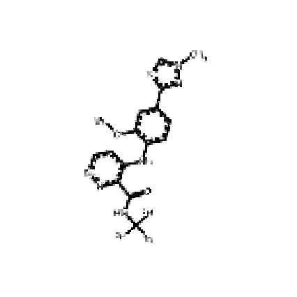 [2H]C([2H])([2H])NC(=O)c1nnccc1Nc1ccc(-c2ncn(C)n2)cc1OC(C)C